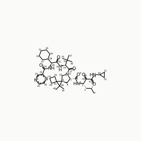 CCC[C@H](NC(=O)[C@@H]1C[C@@]2(CN1C(=O)[C@@H](NC(=O)[C@@H](NC(=O)c1cnccn1)C1CCCCC1)C(C)(C)C)C(C)(C)C21CCC1)C(=O)C(=O)NC1CC1